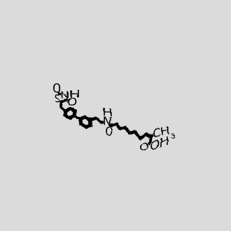 CC(CCCCCCCC(=O)NCCc1cccc(-c2ccc(CC3SC(=O)NC3=O)cc2)c1)C(=O)O